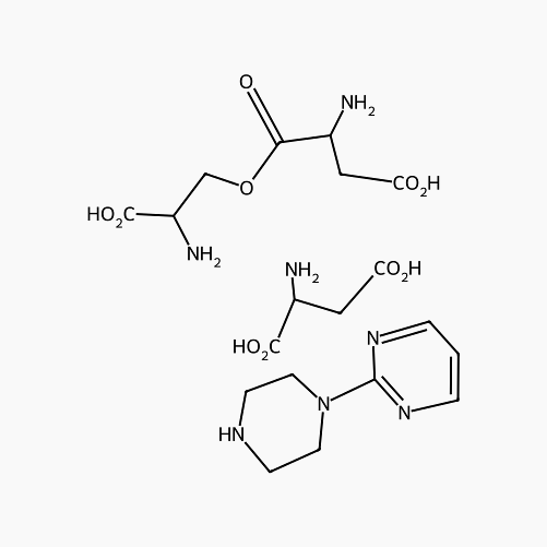 NC(CC(=O)O)C(=O)O.NC(COC(=O)C(N)CC(=O)O)C(=O)O.c1cnc(N2CCNCC2)nc1